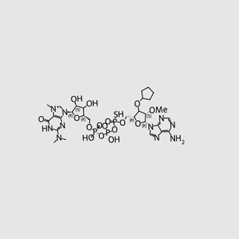 CO[C@H]1C(OC2CCCC2)[C@@H](COP(=O)(S)OP(=O)(O)OP(=O)(O)OC[C@H]2O[C@@H](n3c[n+](C)c4c(=O)[nH]c(N(C)C)nc43)[C@@H](O)C2O)O[C@H]1n1cnc2c(N)ncnc21